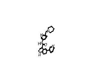 O=C(Nc1ccc(CN2CCCCC2)nc1)C1=CCNc2ccc(-c3cccnc3)cc21